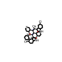 COc1ccncc1C(/C(=C(/C#N)c1c[nH]c2ccc(Cl)cc12)c1cnccc1Oc1ccccc1)=C(/C#N)c1c[nH]c2ccc(Cl)cc12